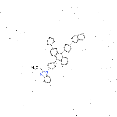 CCc1nc2ccccc2n1-c1ccc(-c2c3ccccc3c(-c3ccc(-c4ccc5ccccc5c4)cc3)c3cc(-c4ccccc4)ccc23)cc1